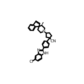 C[C@H]1CN(C2CCC(C#N)(c3ccc(-c4nc5cc(Cl)ccc5[nH]4)cc3)C2)CCC12C=Cc1ccccc12